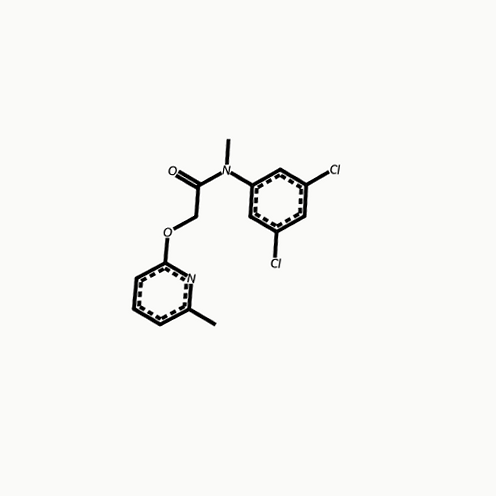 Cc1cccc(OCC(=O)N(C)c2cc(Cl)cc(Cl)c2)n1